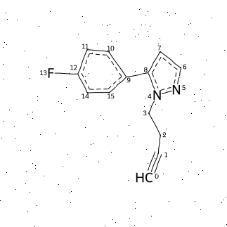 C#CCCn1nccc1-c1ccc(F)cc1